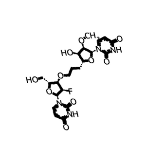 CO[C@@H]1[C@H](O)[C@@H](CCCO[C@H]2[C@@H](F)[C@H](n3ccc(=O)[nH]c3=O)O[C@@H]2CO)O[C@H]1n1ccc(=O)[nH]c1=O